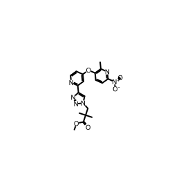 COC(=O)C(C)(C)Cn1cc(-c2cc(Oc3ccc([N+](=O)[O-])nc3C)ccn2)nn1